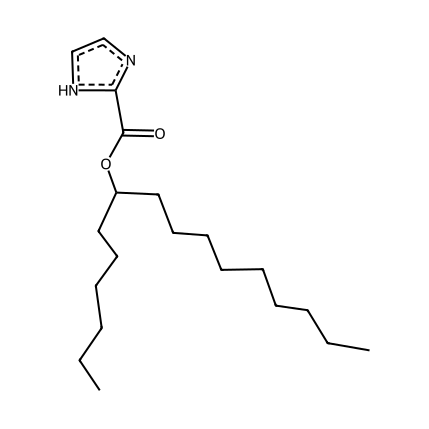 CCCCCCCCCC(CCCCCC)OC(=O)c1ncc[nH]1